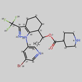 CC(OC(=O)C1CCNCC1)C1CCCc2c(C(F)(F)F)nn(-c3cncc(Br)c3)c21